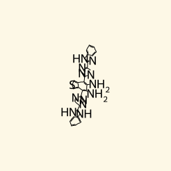 Nc1c(N)c(-c2ncc(C3Nc4ccccc4N3)nn2)c2cscc2c1-c1ncc(-c2nc3ccccc3[nH]2)nn1